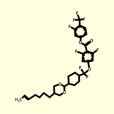 C/C=C/CCCCC1COC(C2CCC(C(F)(F)Oc3cc(F)c(C(=O)Oc4ccc(C(F)(F)F)c(F)c4)c(F)c3)CC2)OC1